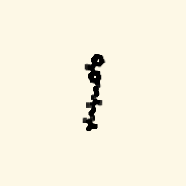 C=C(C)C(=O)OCCNC(=O)OCCOc1ccc(C(=O)c2ccccc2)cc1